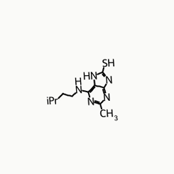 Cc1nc(NCCC(C)C)c2[nH]c(S)nc2n1